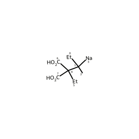 CC[C](C)([Na])C(CC)(C(=O)O)C(=O)O